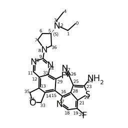 CCN(CC)[C@H]1CCN(c2ncc3c4c(c(-c5ncc(F)c6sc(N)c(C#N)c56)c(F)c3n2)COC4)C1